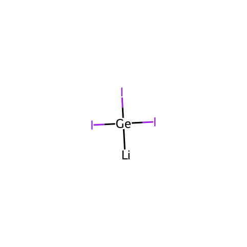 [Li][Ge]([I])([I])[I]